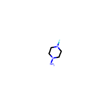 NN1CCN(F)CC1